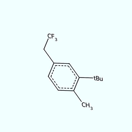 Cc1ccc(CC(F)(F)F)cc1C(C)(C)C